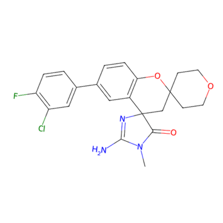 CN1C(=O)C2(CC3(CCOCC3)Oc3ccc(-c4ccc(F)c(Cl)c4)cc32)N=C1N